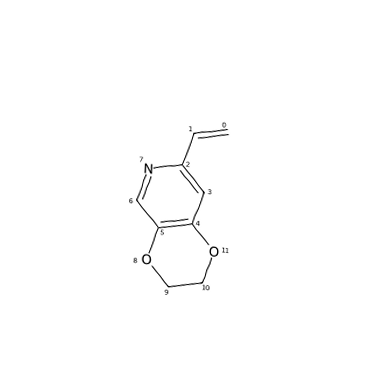 C=Cc1cc2c(cn1)OCCO2